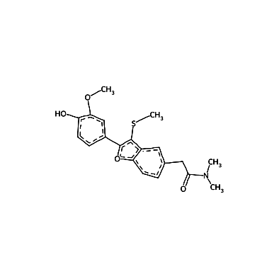 COc1cc(-c2oc3ccc(CC(=O)N(C)C)cc3c2SC)ccc1O